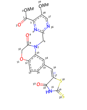 COC(=O)c1nc(CN2C(=O)COc3ccc(/C=C4/SC(=S)NC4=O)cc32)ncc1OC